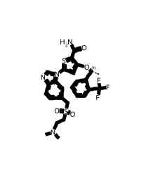 C[C@@H](Oc1cc(-n2cnc3ccc(CS(=O)(=O)CCN(C)C)cc32)sc1C(N)=O)c1ccccc1C(F)(F)F